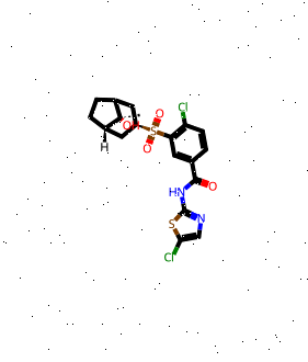 C[C@@]1(O)C2CC[C@H]1C[C@H](S(=O)(=O)c1cc(C(=O)Nc3ncc(Cl)s3)ccc1Cl)C2